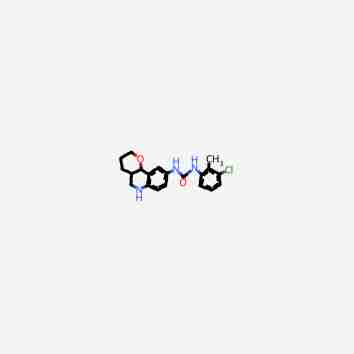 Cc1c(Cl)cccc1NC(=O)Nc1ccc2c(c1)C1OCCCC1CN2